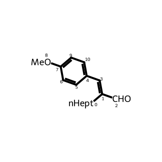 CCCCCCC/C(C=O)=C\c1ccc(OC)cc1